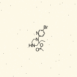 CCC1(OC(C)=O)CNCCN1c1ccc(Br)cn1